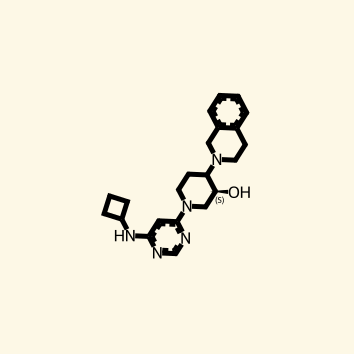 O[C@H]1CN(c2cc(NC3CCC3)ncn2)CCC1N1CCc2ccccc2C1